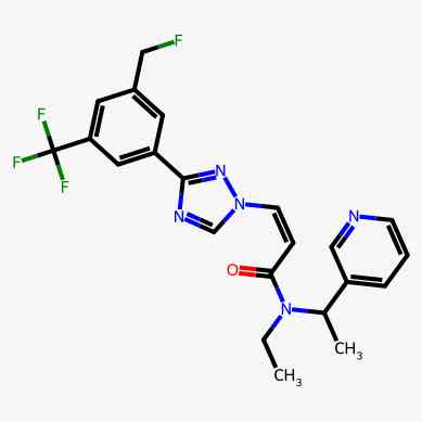 CCN(C(=O)/C=C\n1cnc(-c2cc(CF)cc(C(F)(F)F)c2)n1)C(C)c1cccnc1